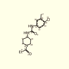 CCC(=O)N1CCC(NC(=O)Nc2ccc(Cl)c(C)c2)CC1